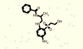 CC(CNc1ccc(N)cc1S(=O)(=O)CCO)NC(=O)c1ccccc1